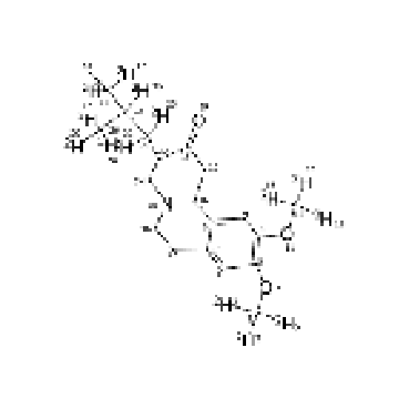 [2H]C([2H])([2H])Oc1cc2c(cc1OC([2H])([2H])[2H])C1CC(=O)C(C([2H])([2H])C([2H])(C([2H])([2H])[2H])C([2H])([2H])C)CN1CC2